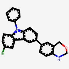 Brc1ccc2c(c1)c1cc(-c3ccc4c(c3)COCN4)ccc1n2-c1ccccc1